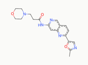 Cc1ncc(-c2ccc3cnc(NC(=O)CCN4CCOCC4)cc3n2)o1